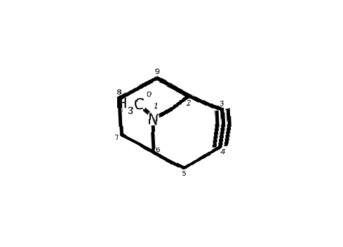 CN1C2C#CCC1CCC2